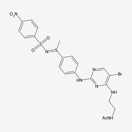 CC(=O)NCCNc1nc(Nc2ccc(S(C)=NS(=O)(=O)c3ccc([N+](=O)[O-])cc3)cc2)ncc1Br